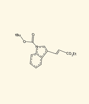 CCOC(=O)C=Cc1cn(C(=O)OC(C)(C)C)c2ccccc12